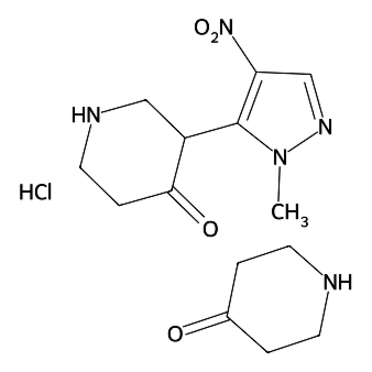 Cl.Cn1ncc([N+](=O)[O-])c1C1CNCCC1=O.O=C1CCNCC1